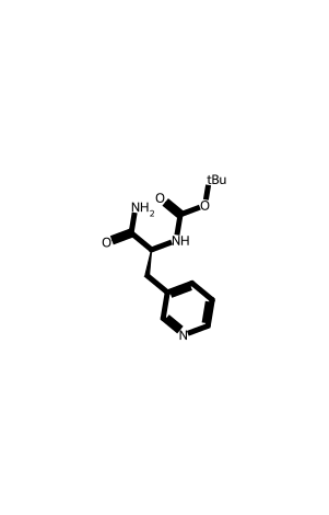 CC(C)(C)OC(=O)N[C@@H](Cc1cccnc1)C(N)=O